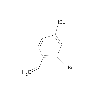 C=Cc1ccc(C(C)(C)C)cc1C(C)(C)C